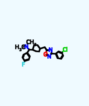 CN(C)C(c1ccc(F)cc1)C1CCC(Cc2nc(-c3cccc(Cl)c3)no2)CC1